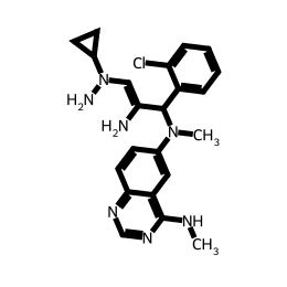 CNc1ncnc2ccc(N(C)C(/C(N)=C/N(N)C3CC3)c3ccccc3Cl)cc12